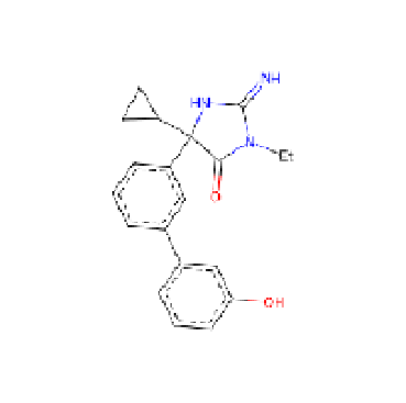 CCN1C(=N)NC(c2cccc(-c3cccc(O)c3)c2)(C2CC2)C1=O